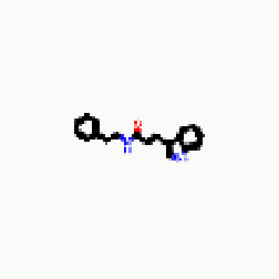 O=C([C]=Cc1c[nH]c2ccccc12)NCCc1ccccc1